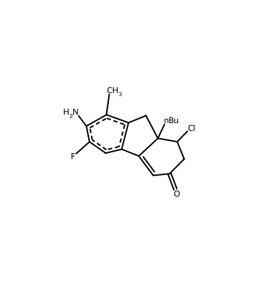 CCCCC12Cc3c(cc(F)c(N)c3C)C1=CC(=O)CC2Cl